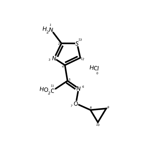 Cl.Nc1nc(C(=NOC2CC2)C(=O)O)cs1